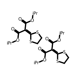 CC(C)OC(=O)C(C(=O)OC(C)C)=C1SCCS1.CC(C)OC(=O)C(C(=O)OC(C)C)=C1SCCS1